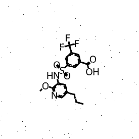 CCCc1cnc(OC)c(NS(=O)(=O)c2cc(C(=O)O)cc(C(F)(F)F)c2)c1